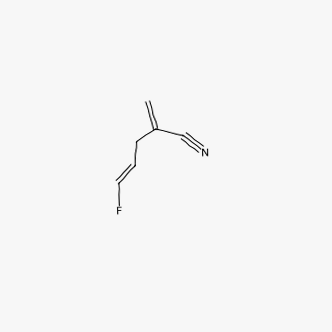 C=C(C#N)CC=CF